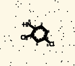 [NH]c1ccc(Cl)cc1Cl